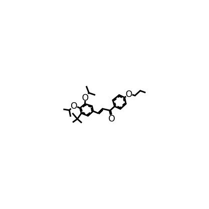 CCCOc1ccc(C(=O)C=Cc2cc(OC(C)C)c(OC(C)C)c(C(C)(C)C)c2)cc1